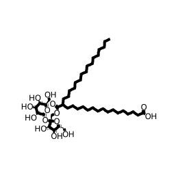 CCCCCCCCCCCCCCCCC(CCCCCCCCCCCCCCCC(=O)O)C(=O)OC[C@@]1(O[C@H]2O[C@H](CO)[C@@H](O)[C@H](O)[C@H]2O)O[C@H](CO)[C@@H](O)[C@@H]1O